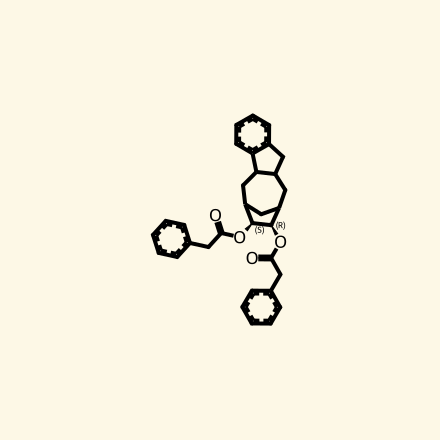 O=C(Cc1ccccc1)O[C@@H]1C2CC3Cc4ccccc4C3CC(C2)[C@@H]1OC(=O)Cc1ccccc1